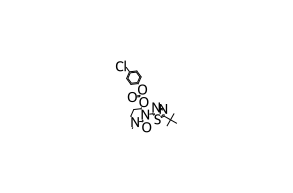 CN1CCC(OC(=O)Oc2ccc(Cl)cc2)N(c2nnc(C(C)(C)C)s2)C1=O